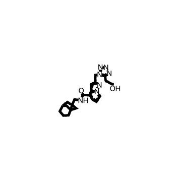 O=C(NCC12CC3CCCC1(C3)C2)c1cccn2nc(Cn3nnnc3CCO)cc12